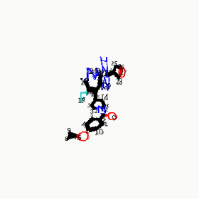 O=C(c1ccc(OC2CC2)cc1)N1CCC(c2c(F)cnc3[nH]c(C4CCOC4)nc23)CC1